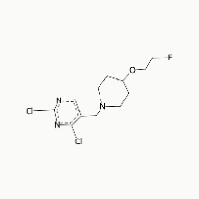 FCCOC1CCN(Cc2cnc(Cl)nc2Cl)CC1